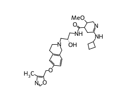 COC1CN=C(NC2CCC2)CC1C(=O)NC[C@H](O)CN1CCc2cc(OCc3ocnc3C)ccc2C1